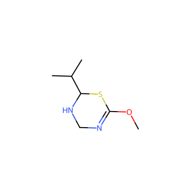 COC1=NCNC(C(C)C)S1